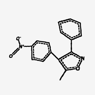 Cc1onc(-c2ccccc2)c1-c1ccc([N+](=O)[O-])cc1